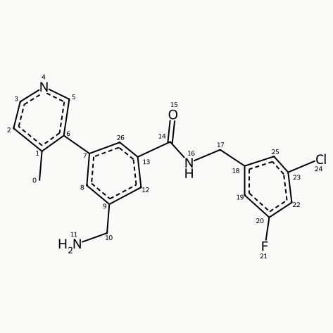 Cc1ccncc1-c1cc(CN)cc(C(=O)NCc2cc(F)cc(Cl)c2)c1